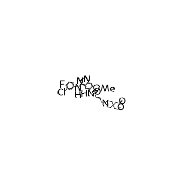 COc1cc2ncnc(Nc3ccc(F)c(Cl)c3)c2cc1NC(=O)C=CCN1CCC2(CCOC(=O)C2)CC1